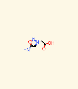 [NH-]c1c[n+](CC(=O)O)no1